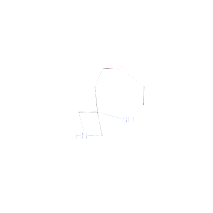 C1COCCC2(CNC2)N1